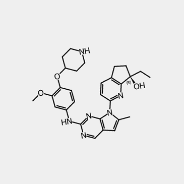 CC[C@@]1(O)CCc2ccc(-n3c(C)cc4cnc(Nc5ccc(OC6CCNCC6)c(OC)c5)nc43)nc21